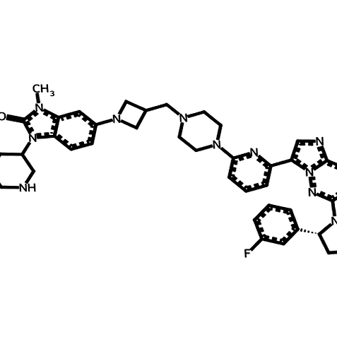 Cn1c(=O)n(C2CCCNC2)c2ccc(N3CC(CN4CCN(c5cccc(-c6cnc7ccc(N8CCC[C@@H]8c8cccc(F)c8)nn67)n5)CC4)C3)cc21